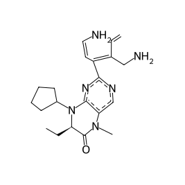 C=C/C(CN)=C(\C=C/N)c1ncc2c(n1)N(C1CCCC1)[C@H](CC)C(=O)N2C